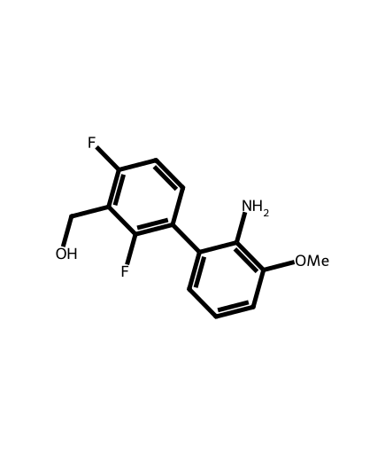 COc1cccc(-c2ccc(F)c(CO)c2F)c1N